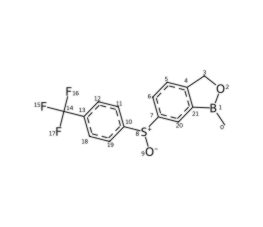 CB1OCc2ccc([S+]([O-])c3ccc(C(F)(F)F)cc3)cc21